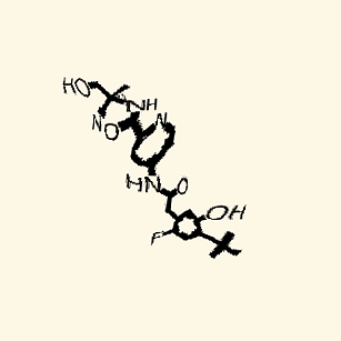 CC(C)(C)c1cc(F)c(CC(=O)Nc2ccnc(C(=O)N[C@](C)(C#N)CO)c2)cc1O